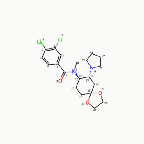 CN(C(=O)c1ccc(Cl)c(Cl)c1)[C@@H]1CCC2(C[C@H]1N1CCCC1)OCCO2